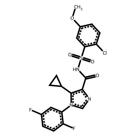 COc1ccc(Cl)c(S(=O)(=O)NC(=O)c2ncn(-c3cc(F)ccc3F)c2C2CC2)c1